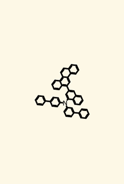 c1ccc(-c2ccc(N(c3cccc(-c4ccccc4)c3)c3cc(-c4cc5c6ccccc6ccc5c5ccccc45)cc4ccccc34)cc2)cc1